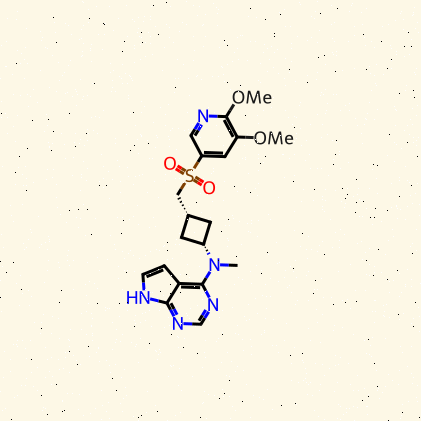 COc1cc(S(=O)(=O)C[C@H]2C[C@@H](N(C)c3ncnc4[nH]ccc34)C2)cnc1OC